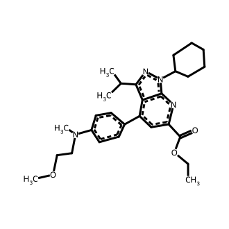 CCOC(=O)c1cc(-c2ccc(N(C)CCOC)cc2)c2c(C(C)C)nn(C3CCCCC3)c2n1